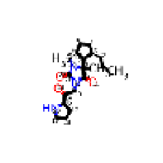 CCC[C@@H]1CCCC1C1(C)C(=O)N(CC(=O)C2CCCN2)C(=O)N1C